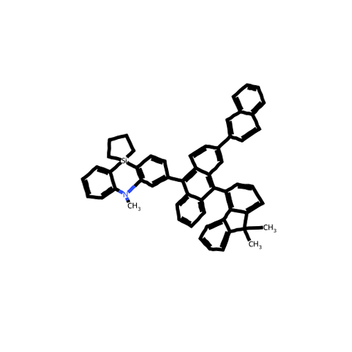 CN1c2ccccc2[Si]2(CCCC2)c2ccc(-c3c4ccccc4c(-c4cccc5c4-c4ccccc4C5(C)C)c4cc(-c5ccc6ccccc6c5)ccc34)cc21